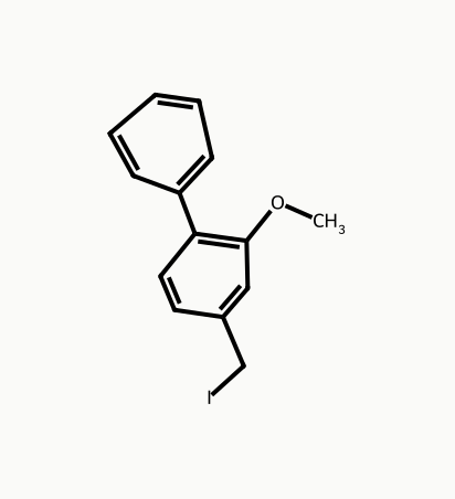 COc1cc(CI)ccc1-c1ccccc1